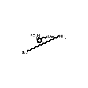 CC(C)(C)CCCCCCCCCCCCCCCCCN.CCCCCCCCCCCCc1ccccc1S(=O)(=O)O